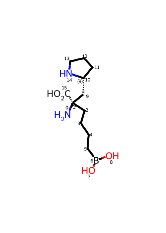 N[C@](CCCCB(O)O)(C[C@H]1CCCN1)C(=O)O